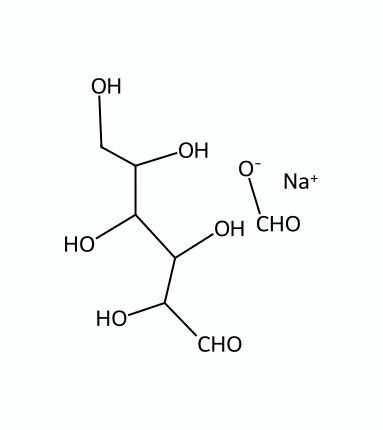 O=CC(O)C(O)C(O)C(O)CO.O=C[O-].[Na+]